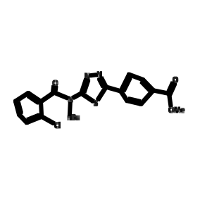 CCCCN(C(=O)c1ccccc1Cl)c1nnc(-c2ccc(C(=O)OC)cc2)s1